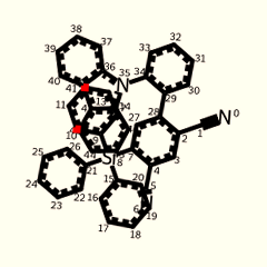 N#Cc1cc(C#N)c([Si](c2ccccc2)(c2ccccc2)c2ccccc2)cc1-c1ccccc1-n1c2ccccc2c2ccccc21